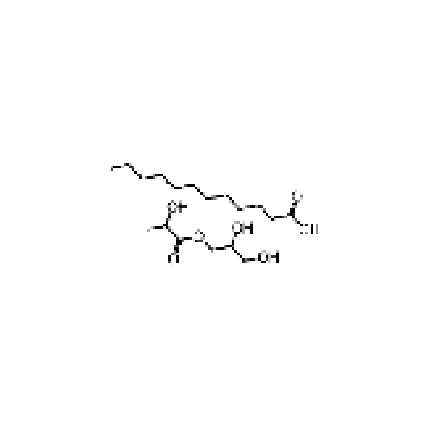 CC(O)C(=O)OCC(O)CO.CCCCCCCCCCCC(=O)O